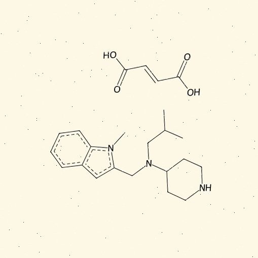 CC(C)CN(Cc1cc2ccccc2n1C)C1CCNCC1.O=C(O)/C=C/C(=O)O